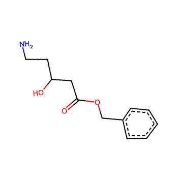 NCCC(O)CC(=O)OCc1ccccc1